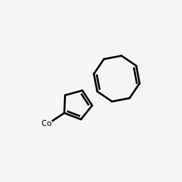 C1=CCCC=CCC1.[Co][C]1=CC=CC1